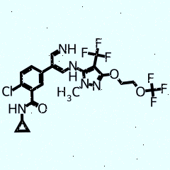 Cn1nc(OCCOC(F)(F)F)c(C(F)(F)F)c1N/C=C(\C=N)c1ccc(Cl)c(C(=O)NC2CC2)c1